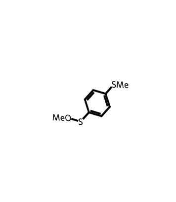 COSc1ccc(SC)cc1